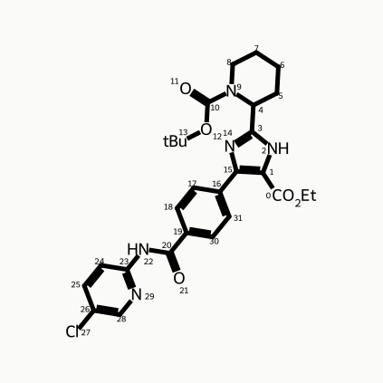 CCOC(=O)c1[nH]c(C2CCCCN2C(=O)OC(C)(C)C)nc1-c1ccc(C(=O)Nc2ccc(Cl)cn2)cc1